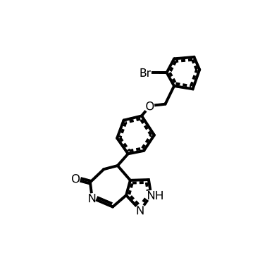 O=C1CC(c2ccc(OCc3ccccc3Br)cc2)c2c[nH]nc2C=N1